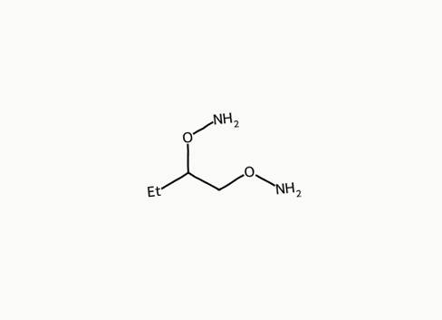 CCC(CON)ON